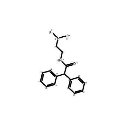 CC(C)N(CCNC(=O)C(c1ccccc1)c1ccccc1)C(C)C